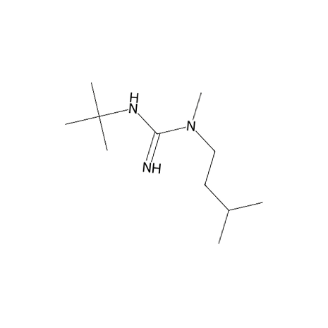 CC(C)CCN(C)C(=N)NC(C)(C)C